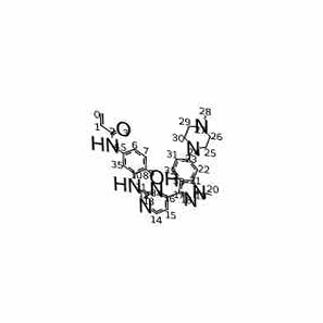 C=CC(=O)Nc1ccc(O)c(Nc2nccc(-c3nn(C)c4cc(N5CCN(C)CC5)ccc34)n2)c1